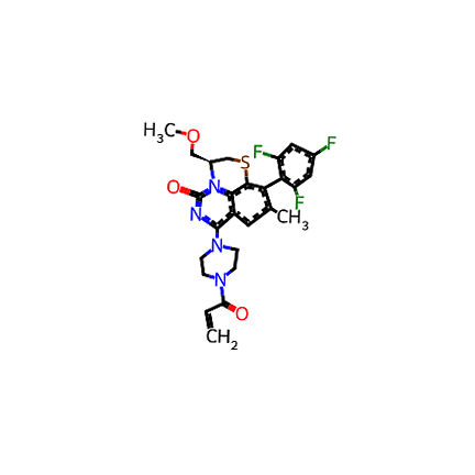 C=CC(=O)N1CCN(c2nc(=O)n3c4c(c(-c5c(F)cc(F)cc5F)c(C)cc24)SC[C@@H]3COC)CC1